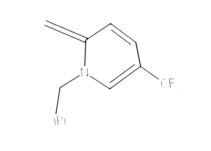 C=C1C=CC(C(F)(F)F)=CN1CC(C)C